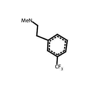 [CH2-][NH2+]CCc1cccc(C(F)(F)F)c1